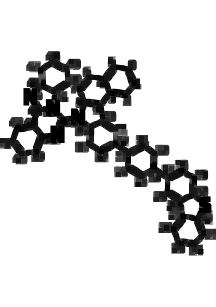 c1ccc2c(c1)ccc1c2c2cc(-c3ccc(-c4ccc5sc6ccccc6c5c4)cc3)ccc2n1-c1nc2ccccc2c2nc3ccccc3n12